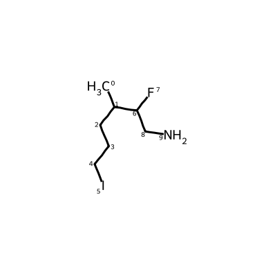 CC(CCCI)C(F)CN